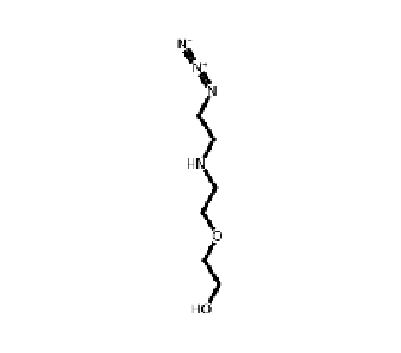 [N-]=[N+]=NCCNCCOCCO